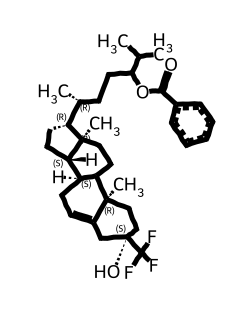 CC(C)C(CC[C@@H](C)[C@H]1CC[C@H]2[C@@H]3CC=C4C[C@](O)(C(F)(F)F)CC[C@]4(C)C3CC[C@]12C)OC(=O)c1ccccc1